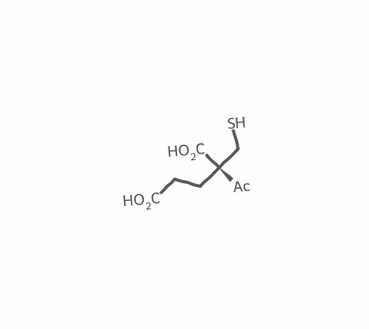 CC(=O)[C@@](CS)(CCC(=O)O)C(=O)O